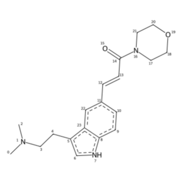 CN(C)CCc1c[nH]c2ccc(/C=C/C(=O)N3CCOCC3)cc12